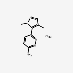 Cc1cnn(C)c1-c1ccc(N)nn1.Cl.Cl